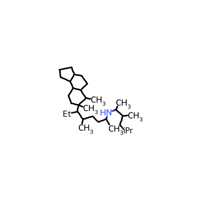 CCC(C(C)CCC(C)NC(C)C(C)CC(C)C)C1(C)CCC2C3CCCC3CCC2C1C